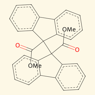 COC(=O)C1(C2(C(=O)OC)c3ccccc3-c3ccccc32)c2ccccc2-c2ccccc21